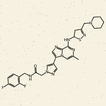 Cc1cn2c(-c3cnn(CC(=O)NCc4ccc(F)cc4F)c3)cnc2c(NC2CC(CN3CCCCC3)=NS2)n1